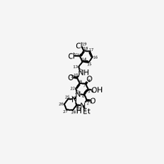 CCN1C(=O)c2c(O)c(=O)c(C(=O)NCc3cccc(Cl)c3Cl)cn2N2CCCC[C@@H]12